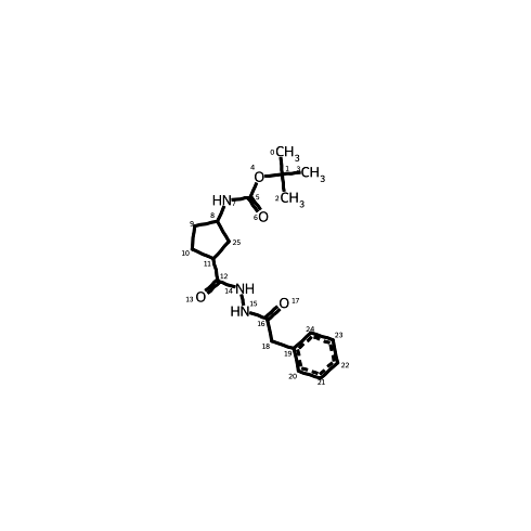 CC(C)(C)OC(=O)NC1CCC(C(=O)NNC(=O)Cc2ccccc2)C1